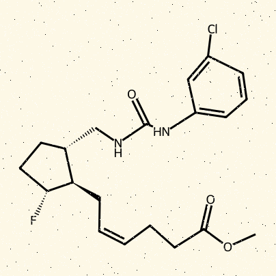 COC(=O)CC/C=C\C[C@@H]1[C@@H](CNC(=O)Nc2cccc(Cl)c2)CC[C@H]1F